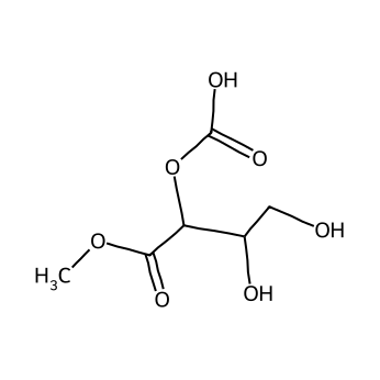 COC(=O)C(OC(=O)O)C(O)CO